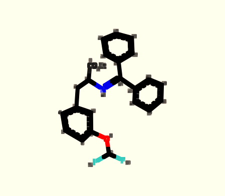 CCOC(=O)C(Cc1cccc(OC(F)F)c1)N=C(c1ccccc1)c1ccccc1